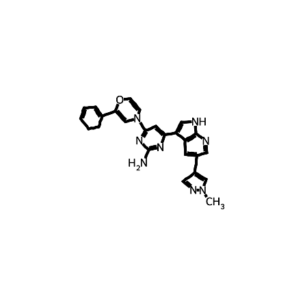 Cn1cc(-c2cnc3[nH]cc(-c4cc(N5C=COC(C6=CC=CCC6)=C5)nc(N)n4)c3c2)cn1